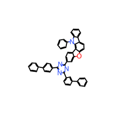 c1ccc(-c2ccc(-c3nc(-c4cccc(-c5ccccc5)c4)nc(-c4ccc5c(c4)oc4ccc6c7ccccc7n(-c7ccccc7)c6c45)n3)cc2)cc1